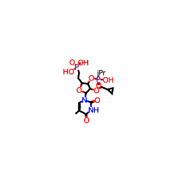 Cc1cn(C2OC(CCP(=O)(O)O)C(OP(=O)(O)C(C)C)C2OCC2CC2)c(=O)[nH]c1=O